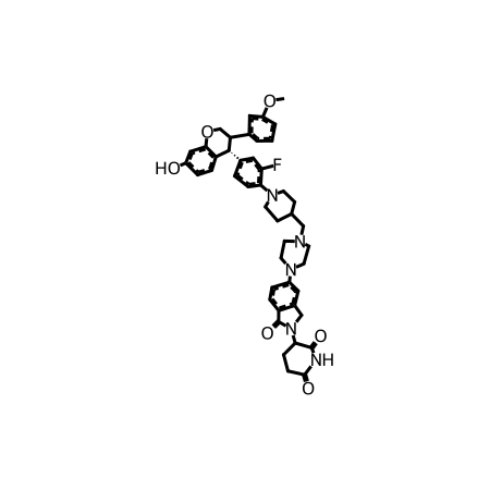 COc1cccc(C2COc3cc(O)ccc3[C@H]2c2ccc(N3CCC(CN4CCN(c5ccc6c(c5)CN(C5CCC(=O)NC5=O)C6=O)CC4)CC3)c(F)c2)c1